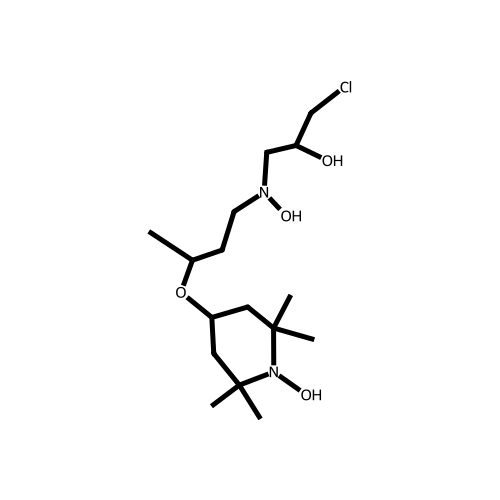 CC(CCN(O)CC(O)CCl)OC1CC(C)(C)N(O)C(C)(C)C1